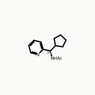 CC(=O)N[C@@H](c1ccccn1)C1CCCC1